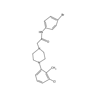 Cc1c(Cl)cccc1N1CCN(CC(=O)Nc2ccc(Br)cc2)CC1